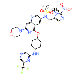 Cn1c(CN(c2cnc3cc(N4CCOCC4)nc(OC4CCC(Nc5cncc(C(F)(F)F)n5)CC4)c3c2)S(C)(=O)=O)cnc1[N+](=O)[O-]